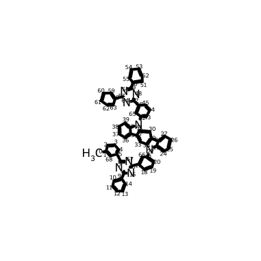 Cc1cccc(-c2nc(-c3ccccc3)nc(-c3cccc(-n4c5ccccc5c5cc6c(cc54)c4ccccc4n6-c4cccc(-c5nc(-c6ccccc6)nc(-c6ccccc6)n5)c4)c3)n2)c1